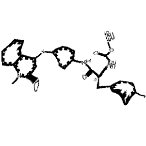 Cn1c(=O)cc(Sc2ccc(NC(=O)[C@H](Cc3ccc(F)cc3)NC(=O)OC(C)(C)C)cc2)c2ccccc21